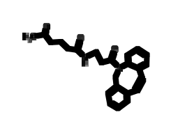 CC(=O)CCCC(=O)NCCC(=O)N1Cc2ccccc2C#Cc2ccccc21